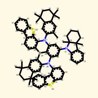 Cc1cc2c(cc1N1c3cc(N4c5ccccc5C5(C)CCCCC45C)cc4c3B(c3cc5c(cc3N4c3cccc4sc6ccccc6c34)C(C)(C)CCC5(C)C)c3ccc4c(sc5ccccc54)c31)C(C)(C)CCC2(C)C